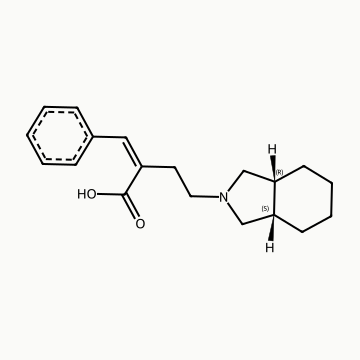 O=C(O)C(=Cc1ccccc1)CCN1C[C@H]2CCCC[C@H]2C1